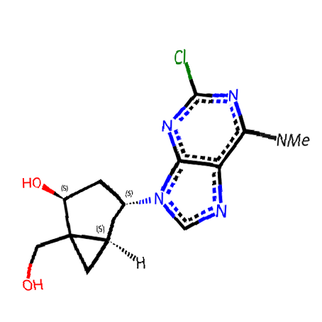 CNc1nc(Cl)nc2c1ncn2[C@H]1C[C@H](O)C2(CO)C[C@H]12